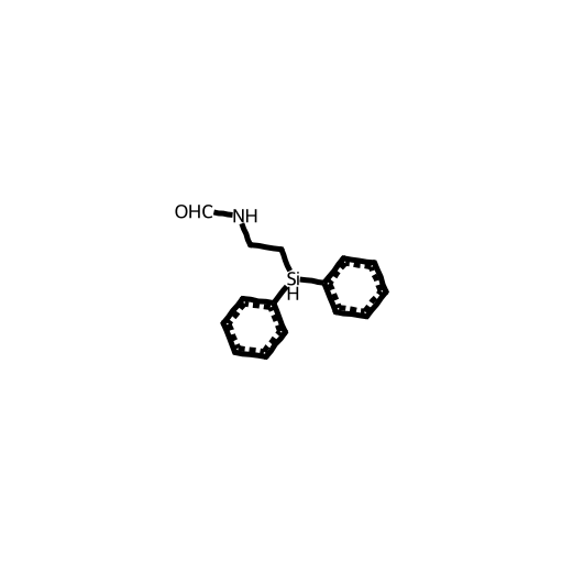 O=CNCC[SiH](c1ccccc1)c1ccccc1